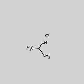 CC(C)C#N.[C]